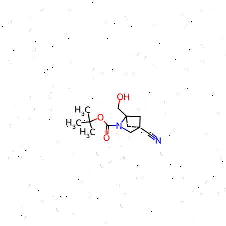 CC(C)(C)OC(=O)N1CC2(C#N)CC1(CO)C2